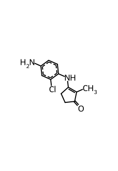 CC1=C(Nc2ccc(N)cc2Cl)CCC1=O